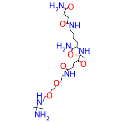 CC(C)(N)NCCOCCOCCNC(=O)CCC(=O)C(C)(C)NC(CCCCNC(=O)CCC(N)=O)C(N)=O